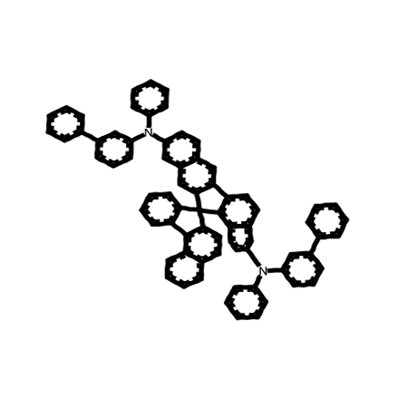 c1ccc(-c2cccc(N(c3ccccc3)c3ccc4cc5c(cc4c3)C3(c4ccccc4-c4c3ccc3ccccc43)c3c-5ccc4cc(N(c5ccccc5)c5cccc(-c6ccccc6)c5)ccc34)c2)cc1